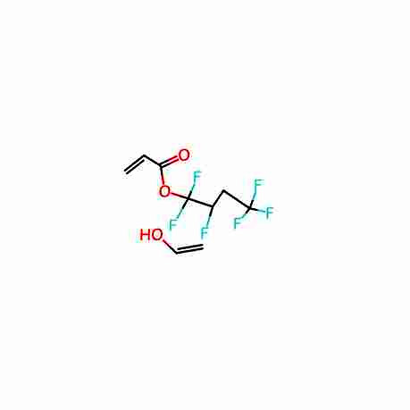 C=CC(=O)OC(F)(F)C(F)CC(F)(F)F.C=CO